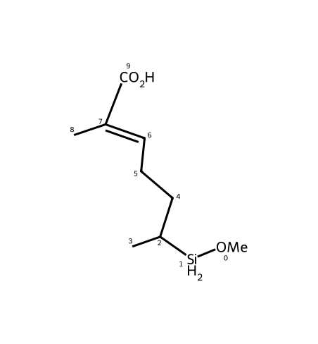 CO[SiH2]C(C)CCC=C(C)C(=O)O